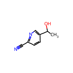 CC(O)c1ccc(C#N)nc1